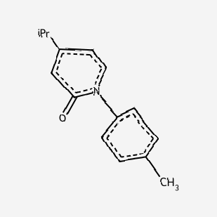 Cc1ccc(-n2ccc(C(C)C)cc2=O)cc1